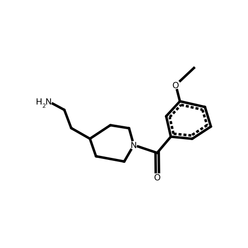 COc1cccc(C(=O)N2CCC(CCN)CC2)c1